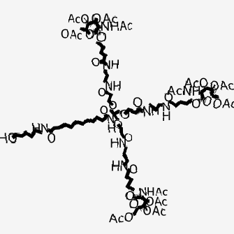 CC(=O)NC1C(OC(C)=O)[C@@H](OC(C)=O)C(COC(C)=O)O[C@H]1OCCCCC(=O)NCCCNC(=O)CCOCC(COCCC(=O)NCCCNC(=O)CCCCO[C@@H]1OC(COC(C)=O)[C@H](OC(C)=O)C(OC(C)=O)C1NC(C)=O)(COCCC(=O)NCCCNC(=O)CCCCO[C@@H]1OC(COC(C)=O)[C@H](OC(C)=O)C(OC(C)=O)C1NC(C)=O)NC(=O)CCCCCCCCCCC(=O)NCCCCCCO